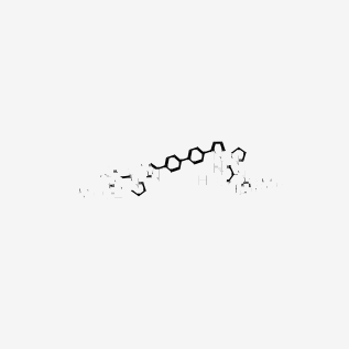 COC(=O)N[C@@H](CO)C(=O)N1CCC[C@H]1c1ncc(-c2ccc(-c3ccc(-c4ccc([C@@H]5CCCN5C(=O)[C@@H](NC(=O)OC)[C@@H](C)OC)[nH]4)cc3)cc2)[nH]1